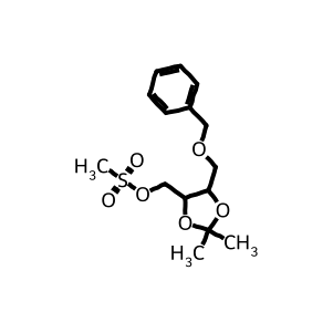 CC1(C)OC(COCc2ccccc2)C(COS(C)(=O)=O)O1